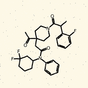 CC(=O)C1(CC(=O)N(c2ccccc2)C2CCCC(F)(F)C2)CCN(C(=O)C(C)c2ccccc2F)CC1